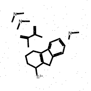 C=C(C)C(=C)C.C[N-]C.C[N-]C.C[N-]C.[Ti+3][CH]1CCCC2=C1Cc1ccccc12